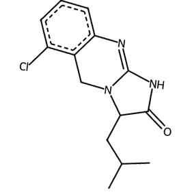 CC(C)CC1C(=O)NC2=Nc3cccc(Cl)c3CN21